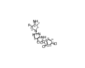 CC(Nc1nc(N2CC[C@H](N)[C@@H](F)C2)ncc1Cl)c1ccc(Cl)cc1Cl